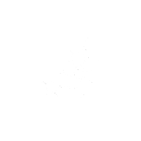 CCOP(=O)(OCC)C(O)(Cn1cncn1)c1ccc(F)cc1